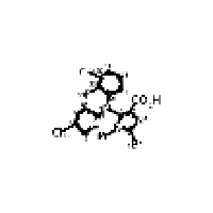 CC(C)n1c(Br)nc(C(=O)O)c1N(c1ccc(Cl)cc1)c1cccc(Cl)c1F